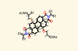 CCC(CC)N1C(=O)c2ccc3c4c(SCC(NC(C)=O)C(C)=O)cc5c6c(ccc(c7c(OCCOC)cc(c2c37)C1=O)c64)C(=O)N(C(CC)CC)C5=O